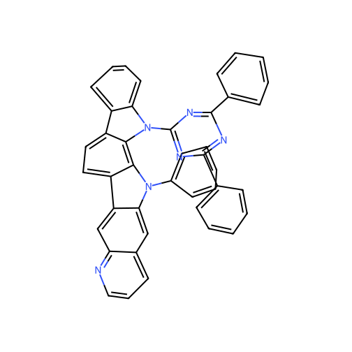 c1ccc(-c2nc(-c3ccccc3)nc(-n3c4ccccc4c4ccc5c6cc7ncccc7cc6n(-c6ccccc6)c5c43)n2)cc1